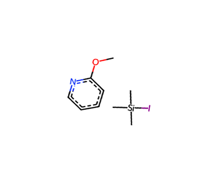 COc1ccccn1.C[Si](C)(C)I